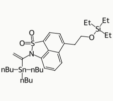 C=[C](N1c2cccc3c(CCO[Si](CC)(CC)CC)ccc(c23)S1(=O)=O)[Sn]([CH2]CCC)([CH2]CCC)[CH2]CCC